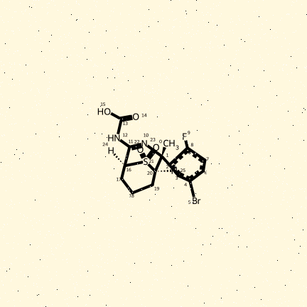 C[C@]1(c2cc(Br)ccc2F)N=C(NC(=O)O)[C@@H]2CCC[C@H]1S2(=O)=O